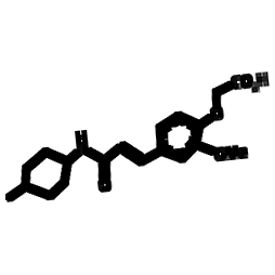 COc1cc(C=CC(=O)NC2CCC(C)CC2)ccc1OCC(=O)O